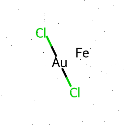 [Cl][Au][Cl].[Fe]